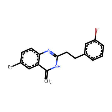 C=C1NC(CCc2cccc(Br)c2)=Nc2ccc(CC)cc21